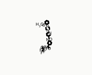 COc1ccccc1N1CCN(c2ccc(-c3nc4cc(C(=O)NOC(=O)C(F)(F)F)ccc4o3)cn2)CC1